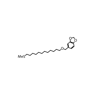 CSCCCCCCCCCCCCOCc1ccc2c(c1)OCO2